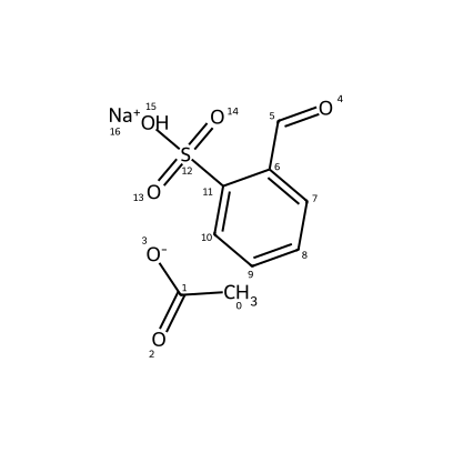 CC(=O)[O-].O=Cc1ccccc1S(=O)(=O)O.[Na+]